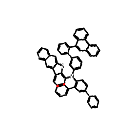 c1ccc(-c2ccc(N(c3cccc(-c4ccccc4-c4cc5ccccc5c5ccccc45)c3)c3cccc4c3sc3cc5ccccc5cc34)c(-c3ccccc3)c2)cc1